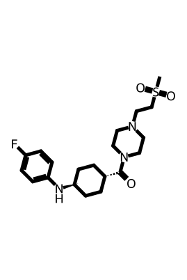 CS(=O)(=O)CCN1CCN(C(=O)[C@H]2CC[C@H](Nc3ccc(F)cc3)CC2)CC1